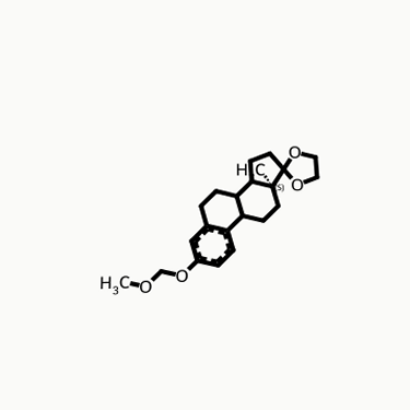 COCOc1ccc2c(c1)CCC1C2CC[C@@]2(C)C1CCC21OCCO1